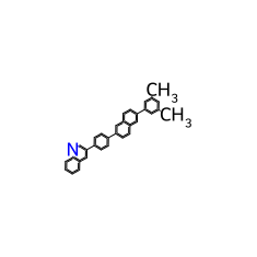 Cc1cc(C)cc(-c2ccc3cc(-c4ccc(-c5cnc6ccccc6c5)cc4)ccc3c2)c1